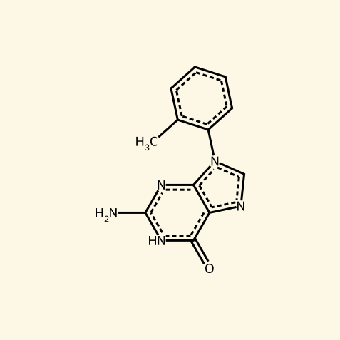 Cc1ccccc1-n1cnc2c(=O)[nH]c(N)nc21